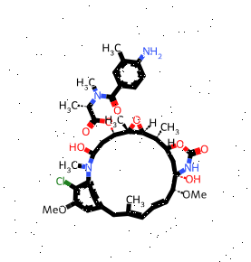 COc1cc2cc(c1Cl)N(C)C(O)C[C@H](OC(=O)[C@H](C)N(C)C(=O)c1ccc(N)c(C)c1)[C@]1(C)O[C@H]1[C@H](C)[C@@H]1C[C@@](O)(NC(=O)O1)[C@H](OC)/C=C/C=C(\C)C2